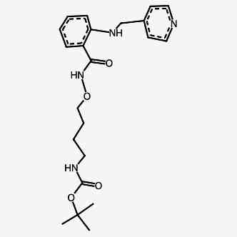 CC(C)(C)OC(=O)NCCCCONC(=O)c1ccccc1NCc1ccncc1